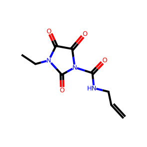 C=CCNC(=O)N1C(=O)C(=O)N(CC)C1=O